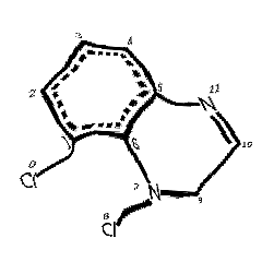 Clc1cccc2c1N(Cl)CC=N2